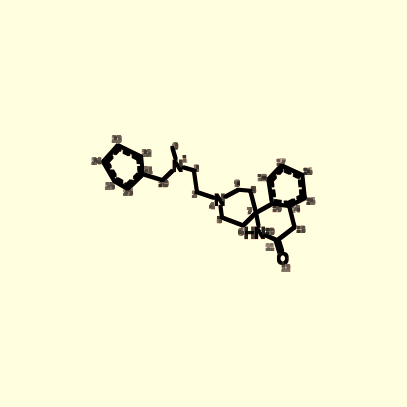 CN(CCN1CCC2(CC1)NC(=O)Cc1ccccc12)Cc1ccccc1